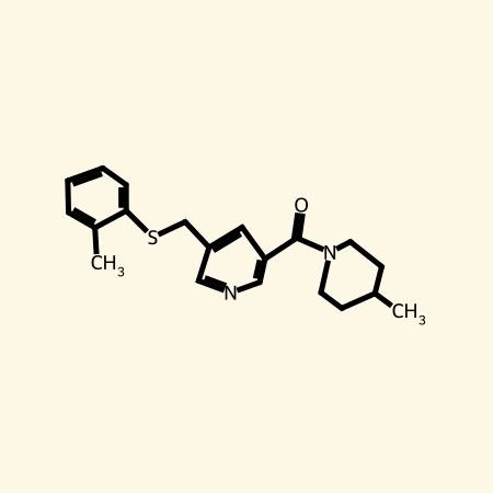 Cc1ccccc1SCc1cncc(C(=O)N2CCC(C)CC2)c1